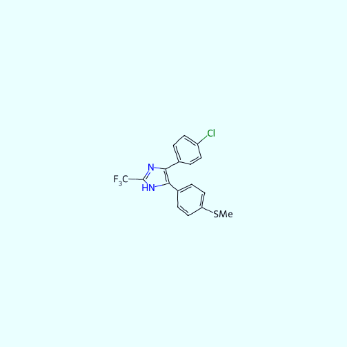 CSc1ccc(-c2[nH]c(C(F)(F)F)nc2-c2ccc(Cl)cc2)cc1